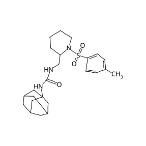 Cc1ccc(S(=O)(=O)N2CCCCC2CNC(=O)NC23CC4CC(CC(C4)C2)C3)cc1